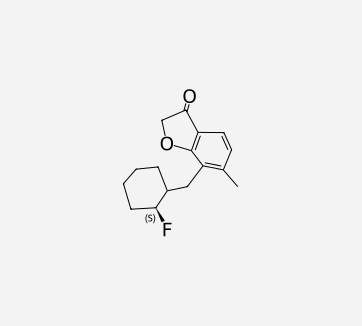 Cc1ccc2c(c1CC1CCCC[C@@H]1F)OCC2=O